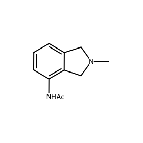 CC(=O)Nc1cccc2c1CN(C)C2